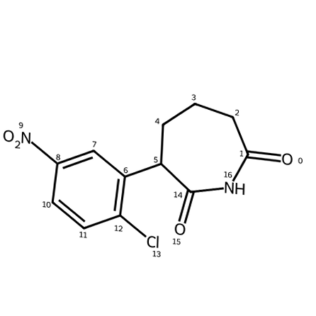 O=C1CCCC(c2cc([N+](=O)[O-])ccc2Cl)C(=O)N1